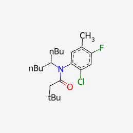 CCCCC(CCCC)N(C(=O)CC(C)(C)C)c1cc(C)c(F)cc1Cl